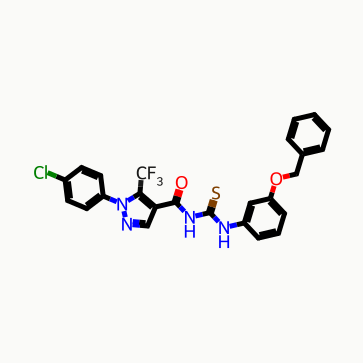 O=C(NC(=S)Nc1cccc(OCc2ccccc2)c1)c1cnn(-c2ccc(Cl)cc2)c1C(F)(F)F